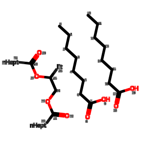 CCCCCCCC(=O)O.CCCCCCCC(=O)O.CCCCCCCC(=O)OCC(CC)OC(=O)CCCCCCC